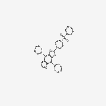 O=S(=O)(c1ccccc1)c1ccc(-c2cc3c(-c4ccccc4)c4sccc4c(-c4ccccc4)c3s2)cc1